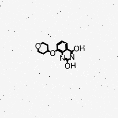 Oc1nc(O)c2cccc(OC3CCOCC3)c2n1